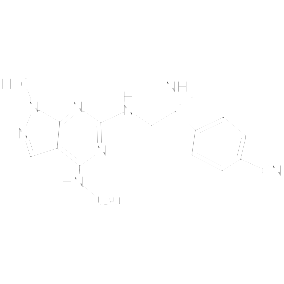 Cn1ncc2c(NC(C)(C)C)nc(NC[C@H](N)c3ccc(C#N)cc3)nc21